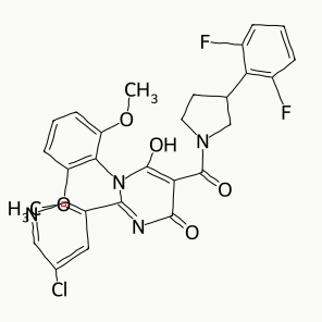 COc1cccc(OC)c1-n1c(-c2cncc(Cl)c2)nc(=O)c(C(=O)N2CCC(c3c(F)cccc3F)C2)c1O